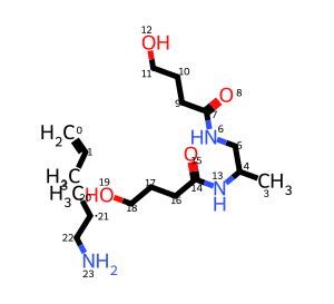 C=CC.CC(CNC(=O)CCCO)NC(=O)CCCO.C[CH]CN